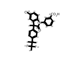 CC1(c2ccc(C(C)(C)C(C)(F)F)cc2)C(=O)N(c2cccc(C(=O)O)c2)c2ccc(Cl)cc21